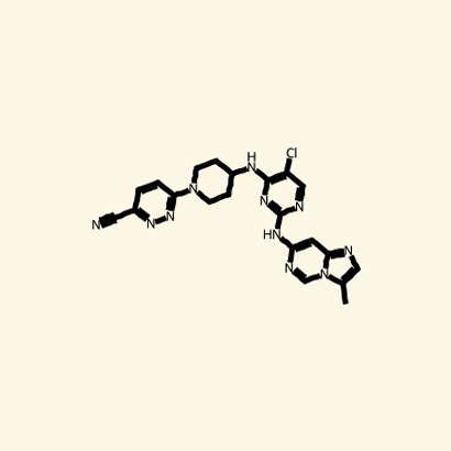 Cc1cnc2cc(Nc3ncc(Cl)c(NC4CCN(c5ccc(C#N)nn5)CC4)n3)ncn12